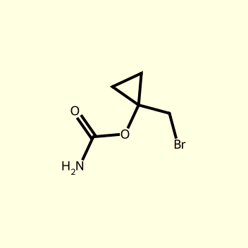 NC(=O)OC1(CBr)CC1